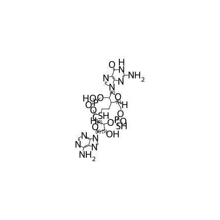 Nc1nc2c(ncn2[C@@H]2O[C@@H]3COP(=O)(S)OC4[C@@H](COP(=O)(O)OC2C3CCS)O[C@@H](n2cnc3c(N)ncnc32)[C@H]4O)c(=O)[nH]1